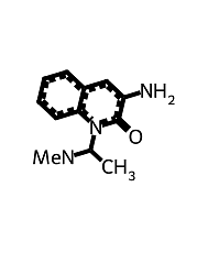 CNC(C)n1c(=O)c(N)cc2ccccc21